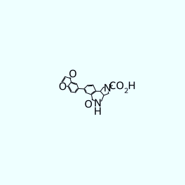 O=C1NCC2CN(C(=O)O)CC2c2ccc(-c3ccc4occc(=O)c4c3)cc21